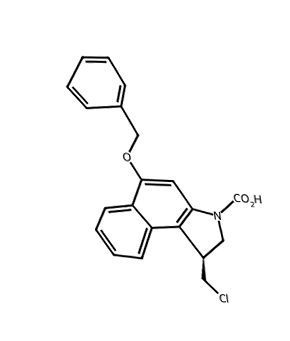 O=C(O)N1C[C@@H](CCl)c2c1cc(OCc1ccccc1)c1ccccc21